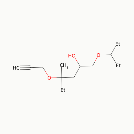 C#CCOC(C)(CC)CC(O)COC(CC)CC